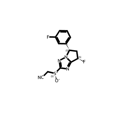 N#CC[S@@+]([O-])c1nc2n(n1)[C@H](c1cccc(F)c1)C[C@@H]2F